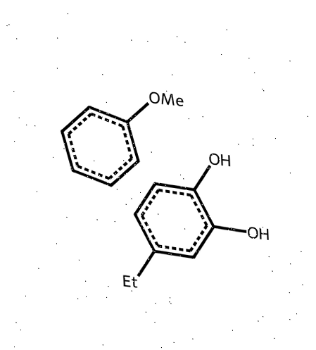 CCc1ccc(O)c(O)c1.COc1ccccc1